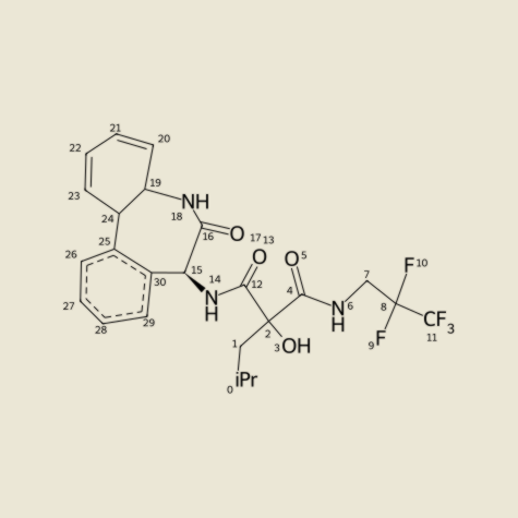 CC(C)CC(O)(C(=O)NCC(F)(F)C(F)(F)F)C(=O)N[C@@H]1C(=O)NC2C=CC=CC2c2ccccc21